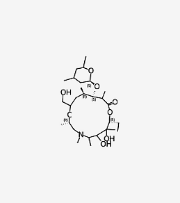 CC[C@H]1OC(=O)C(C)[C@@H](O[C@H]2CC(C)CC(C)O2)[C@H](C)CC(CO)C[C@@H](C)CN(C)C(C)C(O)C1(C)O